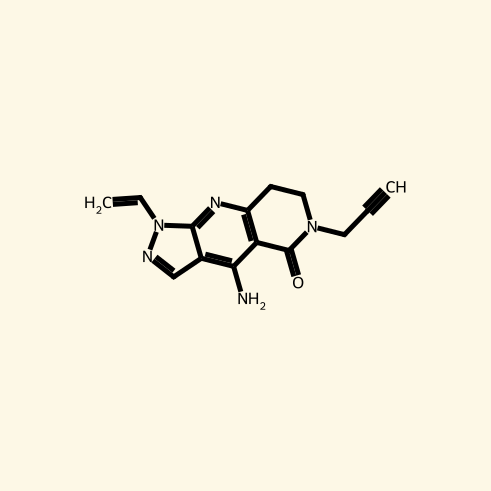 C#CCN1CCc2nc3c(cnn3C=C)c(N)c2C1=O